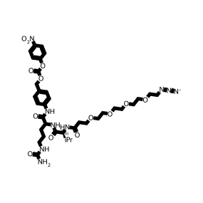 CC(C)[C@H](NC(=O)CCOCCOCCOCCOCCN=[N+]=[N-])C(=O)NC(CCCNC(N)=O)C(=O)Nc1ccc(COC(=O)Oc2ccc([N+](=O)[O-])cc2)cc1